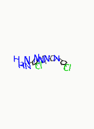 C[C@H]1CN(c2ncc(C(=N)N)cc2Cl)CCN1C1CCN(Cc2ccc(Cl)cc2)CC1